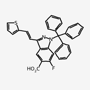 O=C(O)c1cc2c(C=Cc3cccs3)nn(C(c3ccccc3)(c3ccccc3)c3ccccc3)c2cc1F